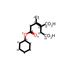 CCC(CC(=O)OC1CCCCC1)=C(CC(=O)O)C(=O)O